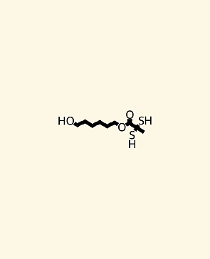 CC(S)(S)C(=O)OCCCCCCO